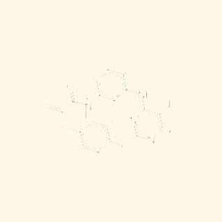 C=CC(=O)Nc1cccc(Nc2nc(Oc3ccc(OCCC)cc3)ncc2F)c1